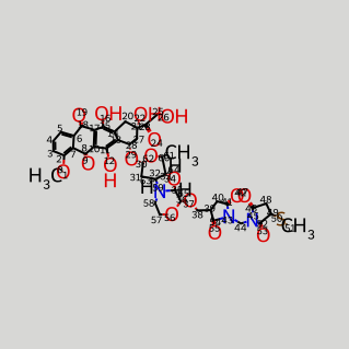 COc1cccc2c1C(=O)c1c(O)c3c(c(O)c1C2=O)C[C@@](O)(C(=O)CO)C[C@@H]3O[C@H]1C[C@H]2[C@H](O[C@@H]3C(OCC4CC(=O)N(CN5C(=O)CC(SC)C5=O)C4=O)OCCN32)[C@H](C)O1